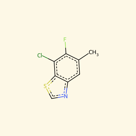 Cc1cc2ncsc2c(Cl)c1F